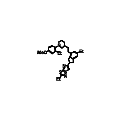 CCc1cc(CCC2CCCN(c3ccc(OC)cc3CC)C2)c2c(c1)CC(c1cn3nc(CC)sc3n1)C2